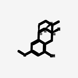 COc1cc(O)c2c(c1)[C@]13CCN(C)[C@H](C2)[C@@H]1CCOC3